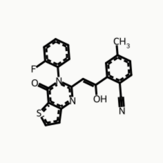 Cc1ccc(C#N)c(C(O)=Cc2nc3ccsc3c(=O)n2-c2ccccc2F)c1